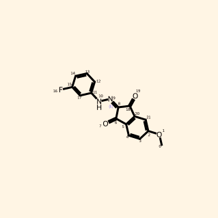 COc1ccc2c(=O)/c(=N\Nc3cccc(F)c3)c(=O)c2c1